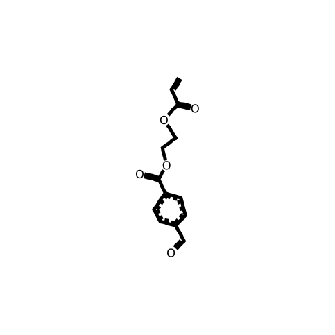 C=CC(=O)OCCOC(=O)c1ccc(C=O)cc1